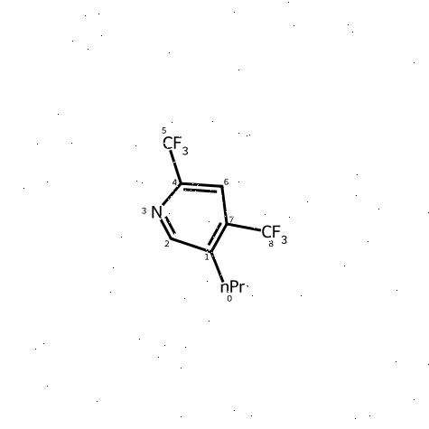 CC[CH]c1cnc(C(F)(F)F)cc1C(F)(F)F